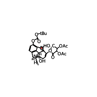 CC(=O)OC(C(=O)O)C(OC(C)=O)C(=O)OC1=CC[C@@]2(O)[C@H]3Cc4ccc(OC(=O)OC(C)(C)C)c5c4[C@@]2(CCN3C)[C@H]1O5